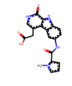 Cn1cccc1C(=O)Nc1ccc2[nH]c3c(=O)[nH]cc(CC(=O)O)c3c2c1